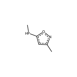 CPc1cc(C)no1